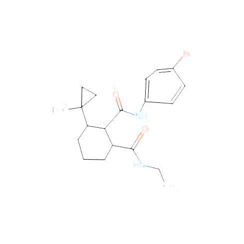 CCNC(=O)C1CCCC(C2(C)CC2)C1C(=O)Nc1ccc(Br)cc1